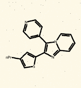 CCCc1csc(-c2nc3ccccn3c2-c2ccncc2)c1